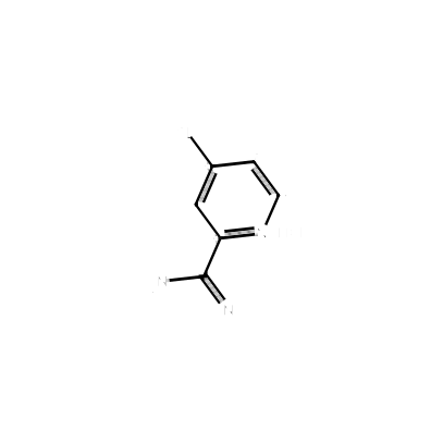 Cl.N=C(N)c1cc(Cl)ccn1